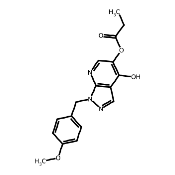 CCC(=O)Oc1cnc2c(cnn2Cc2ccc(OC)cc2)c1O